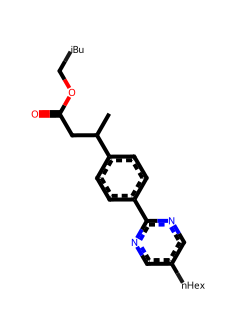 CCCCCCc1cnc(-c2ccc(C(C)CC(=O)OCC(C)CC)cc2)nc1